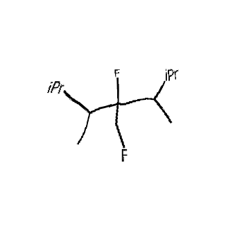 CC(C)C(C)C(F)(F)C(C)C(C)C